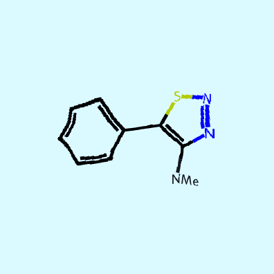 CNc1nnsc1-c1ccccc1